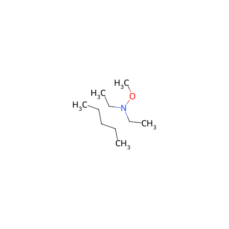 CCCCC.CCN(CC)OC